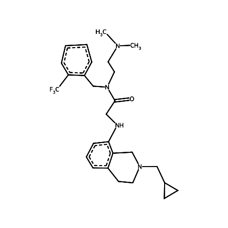 CN(C)CCN(Cc1ccccc1C(F)(F)F)C(=O)CNc1cccc2c1CN(CC1CC1)CC2